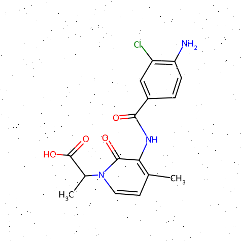 Cc1ccn(C(C)C(=O)O)c(=O)c1NC(=O)c1ccc(N)c(Cl)c1